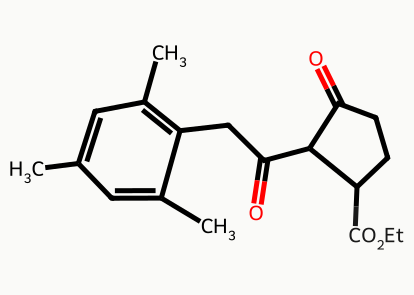 CCOC(=O)C1CCC(=O)C1C(=O)Cc1c(C)cc(C)cc1C